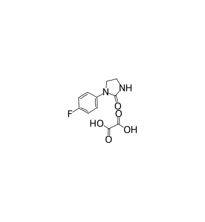 O=C(O)C(=O)O.O=C1NCCN1c1ccc(F)cc1